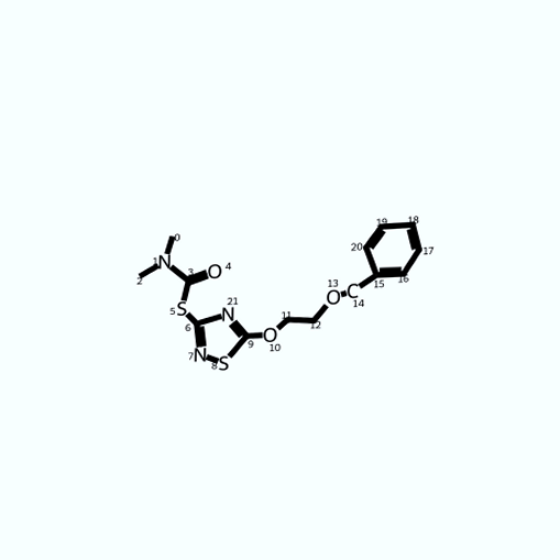 CN(C)C(=O)Sc1nsc(OCCOCc2ccccc2)n1